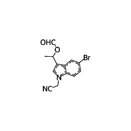 CC(OC=O)c1cn(CC#N)c2ccc(Br)cc12